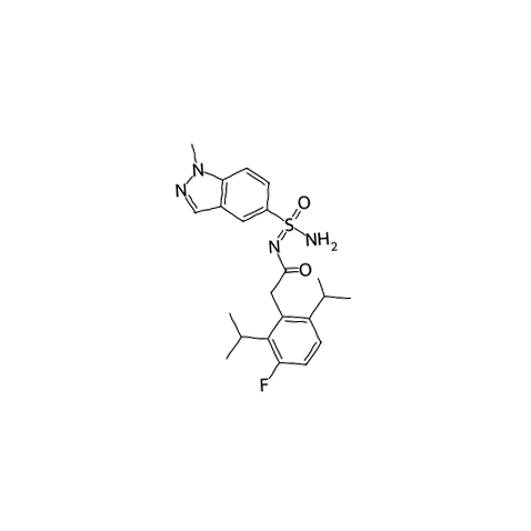 CC(C)c1ccc(F)c(C(C)C)c1CC(=O)N=S(N)(=O)c1ccc2c(cnn2C)c1